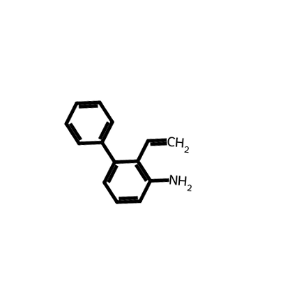 C=Cc1c(N)cccc1-c1ccccc1